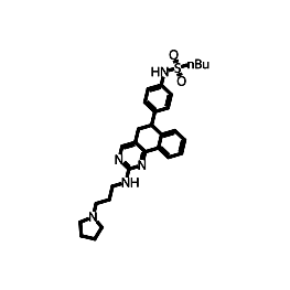 CCCCS(=O)(=O)Nc1ccc(C2Cc3cnc(NCCCN4CCCC4)nc3-c3ccccc32)cc1